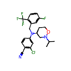 CC(C)N1C[C@@H](N(Cc2cc(F)ccc2C(F)(F)F)c2ccc(C#N)c(Cl)c2)CCO1